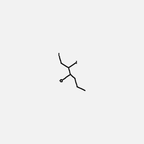 CCCC([O])C(I)CI